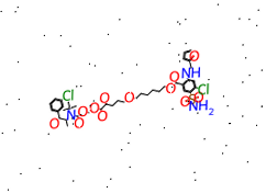 CC(C(=O)c1cccc(Cl)c1)N(C(=O)OCOC(=O)C(=O)CCCOCCCCCCOC(=O)c1cc(S(N)(=O)=O)c(Cl)cc1NCc1ccco1)C(C)(C)C